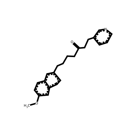 COc1ccc2cc(CCCCC(=O)CCc3cccnc3)ccc2c1